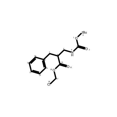 CC(C)(C)OC(=O)NCC(Cc1ccccc1)C(=O)OCCl